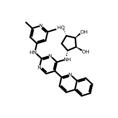 Cc1cc(Nc2ncc(-c3ccc4ccccc4n3)c(N[C@@H]3C[C@H](O)[C@@H](O)[C@H]3O)n2)cc(C)n1